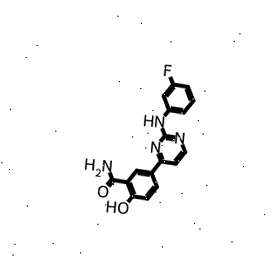 NC(=O)c1cc(-c2ccnc(Nc3cccc(F)c3)n2)ccc1O